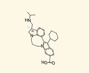 CC(C)NC[C@]1(C)CN2CCCn3c(c(C4CCCCC4)c4ccc(C(=O)O)cc43)-c3cccc1c32